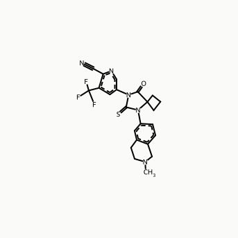 CN1CCc2cc(N3C(=S)N(c4cnc(C#N)c(C(F)(F)F)c4)C(=O)C34CCC4)ccc2C1